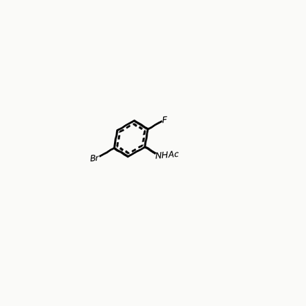 CC(=O)Nc1cc(Br)ccc1F